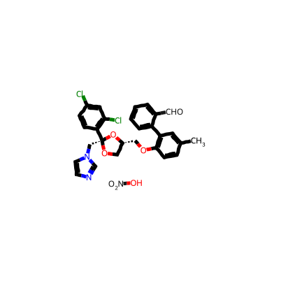 Cc1ccc(OC[C@@H]2CO[C@@](Cn3ccnc3)(c3ccc(Cl)cc3Cl)O2)c(-c2ccccc2C=O)c1.O=[N+]([O-])O